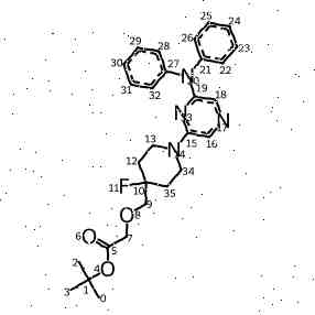 CC(C)(C)OC(=O)COCC1(F)CCN(c2cncc(N(c3ccccc3)c3ccccc3)n2)CC1